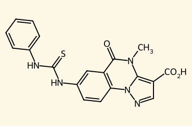 Cn1c(=O)c2cc(NC(=S)Nc3ccccc3)ccc2n2ncc(C(=O)O)c12